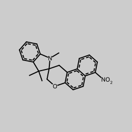 CN1c2ccccc2C(C)(C)C12COc1ccc3c([N+](=O)[O-])cccc3c1C2